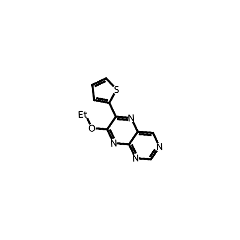 CCOc1nc2ncncc2nc1-c1cccs1